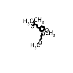 COCCCOc1cc(C=CC(=O)C(C)C)ccc1OC